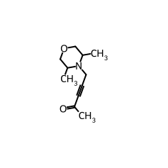 CC(=O)C#CCN1C(C)COCC1C